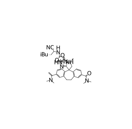 C=C(c1ccc2c(c1)CCc1cc(C(=O)N(C)C)ccc1C2(C[C@H](C)NCC(=O)NC(C#N)C[C@@H](C)CC)c1n[nH]c(=O)[nH]1)N(C)C